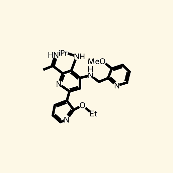 CCOc1ncccc1-c1cc(NCc2ncccc2OC)c(NC(C)C)c(C(C)=N)n1